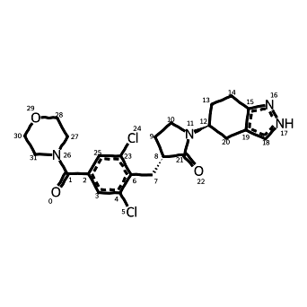 O=C(c1cc(Cl)c(C[C@@H]2CCN([C@H]3CCc4n[nH]cc4C3)C2=O)c(Cl)c1)N1CCOCC1